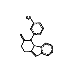 O=C1CCC2=Cc3ccccc3C2N1c1cccc([N+](=O)[O-])c1